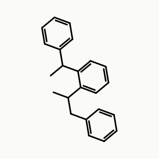 CC(Cc1ccccc1)c1ccccc1C(C)c1ccccc1